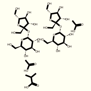 CC(=O)O.CC(=O)O.CC(C)C(=O)O.OC[C@H]1O[C@@](CO)(O[C@H]2O[C@H](CO)[C@@H](O)[C@H](O)[C@H]2O)[C@@H](O)[C@@H]1O.OC[C@H]1O[C@@](CO)(O[C@H]2O[C@H](CO)[C@@H](O)[C@H](O)[C@H]2O)[C@@H](O)[C@@H]1O